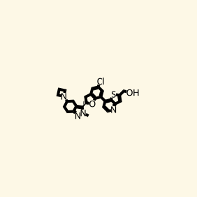 Cn1nc2c(c1[C@H]1Cc3cc(Cl)cc(-c4ccnc5cc(CO)sc45)c3O1)CC(N1CCC1)CC2